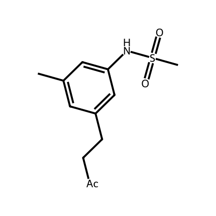 CC(=O)CCc1cc(C)cc(NS(C)(=O)=O)c1